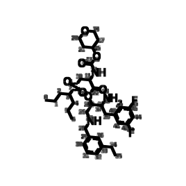 CCCC(CCC)S(=O)(=O)CC(NC(=O)OC1CCOCC1)C(=O)O[C@H](CNCc1cccc(CC)c1)[C@@H](N)Cc1cc(F)cc(F)c1